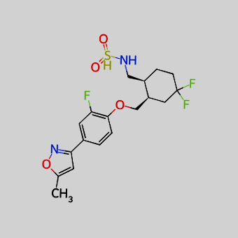 Cc1cc(-c2ccc(OC[C@@H]3CC(F)(F)CC[C@@H]3CN[SH](=O)=O)c(F)c2)no1